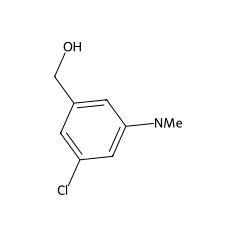 CNc1cc(Cl)cc(CO)c1